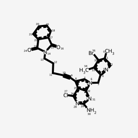 Cc1cnc(Cn2cc(C#CCCCN3C(=O)c4ccccc4C3=O)c3c(Cl)nc(N)nc32)c(C)c1Br